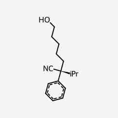 CC(C)[C@@](C#N)(CCCCCO)c1ccccc1